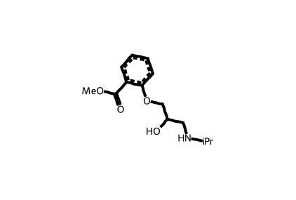 COC(=O)c1ccccc1OCC(O)CNC(C)C